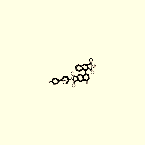 Cc1ccc(-c2ccc(N3C(=O)c4cc5c(C)ccc(-c6c7c(cc8ccccc68)C(=O)N(C)C7=O)c5cc4C3=O)cc2)cc1